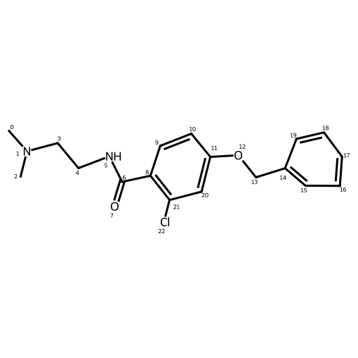 CN(C)CCNC(=O)c1ccc(OCc2ccccc2)cc1Cl